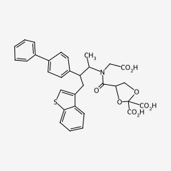 CC(C(Cc1csc2ccccc12)c1ccc(-c2ccccc2)cc1)N(CC(=O)O)C(=O)C1COC(C(=O)O)(C(=O)O)O1